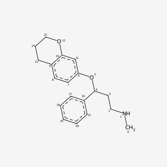 CNCCC(Oc1ccc2c(c1)OCCC2)c1ccccc1